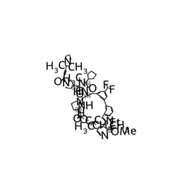 CCn1c(-c2cccnc2[C@H](C)OC)c2c3cc(ccc31)-c1cc(cc(C(F)F)c1)C[C@H](NC(=O)[C@H](C1CCCC1)N(C)C(=O)[C@H]1CCN(C(=O)C#CC(C)(C)N3CCC3)C1)C(=O)N1CCC[C@H](N1)C(=O)OCC(C)(C)C2